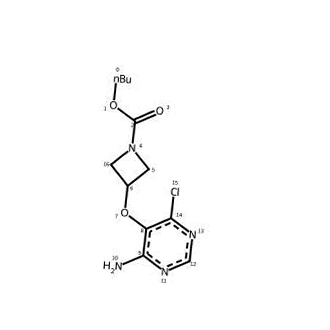 CCCCOC(=O)N1CC(Oc2c(N)ncnc2Cl)C1